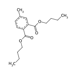 CCCCOC(=O)c1ccc(C)cc1C(=O)OCCCC